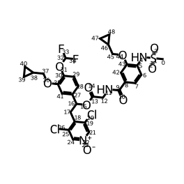 CS(=O)(=O)Nc1ccc(C(=O)NCC(=O)OC(Cc2c(Cl)c[n+]([O-])cc2Cl)c2ccc(OC(F)F)c(OCC3CC3)c2)cc1OCC1CC1